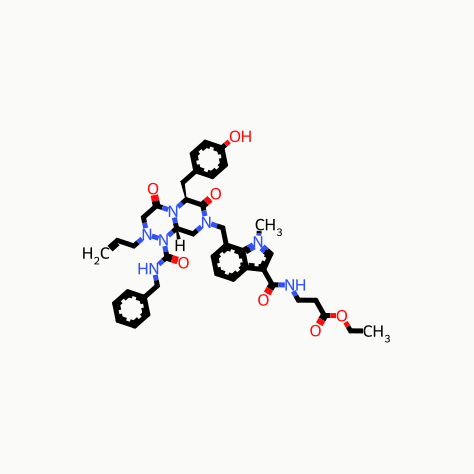 C=CCN1CC(=O)N2[C@@H](Cc3ccc(O)cc3)C(=O)N(Cc3cccc4c(C(=O)NCCC(=O)OCC)cn(C)c34)C[C@@H]2N1C(=O)NCc1ccccc1